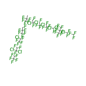 CC(F)(F)C(F)(F)F.FC(Cl)C(F)(F)F.FC(Cl)Cl.FC(F)C(F)(Cl)Cl.FC(F)C(F)(F)C(F)(F)F.FC(F)C(F)(F)F.FC(F)Cl.FC(F)F.FCC(F)(Cl)Cl.FCC(F)(F)C(F)(F)F.FCC(F)(F)Cl.FCC(F)(F)F